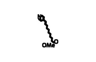 COC(=O)CCCCCCCC/C=C/c1ccncc1